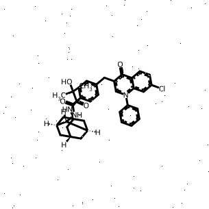 CC(C)(O)C(=O)N[C@]12C[C@@H]3C[C@H](C1)[C@@H](NC(=O)c1ccc(Cc4cn(-c5ccccc5)c5cc(Cl)ccc5c4=O)cc1)[C@@H](C3)C2